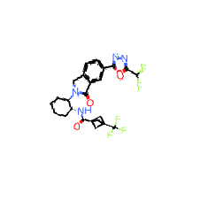 O=C1c2cc(-c3nnc(C(F)F)o3)ccc2CN1[C@@H]1CCCC[C@H]1NC(=O)C12CC(C(F)(F)F)(C1)C2